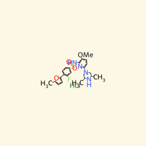 COc1ccc(N2CC(C)NC(C)C2)nc1NS(=O)(=O)c1ccc(-c2ccc(C)o2)c(F)c1.Cl